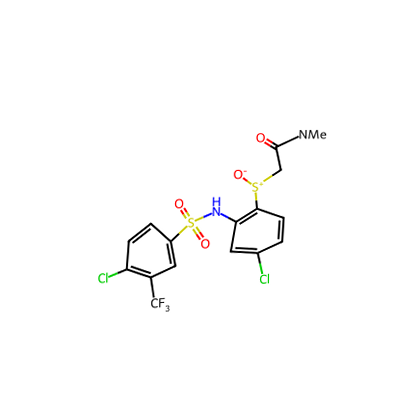 CNC(=O)C[S+]([O-])c1ccc(Cl)cc1NS(=O)(=O)c1ccc(Cl)c(C(F)(F)F)c1